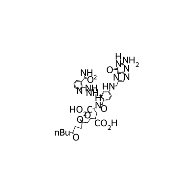 CCCCC(=O)CCC(=O)CC(=O)C(CC(NC(=O)c1ccc(NCc2cnc3nc(N)[nH]c(=O)c3n2)cc1)C(=O)O)C(=O)O.NNc1ncccc1C(N)=O